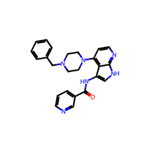 O=C(Nc1c[nH]c2nccc(N3CCN(Cc4ccccc4)CC3)c12)c1cccnc1